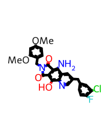 COc1ccc(CN2C(=O)c3c(c(O)c4ncc(Cc5ccc(F)c(Cl)c5)cc4c3N)C2=O)c(OC)c1